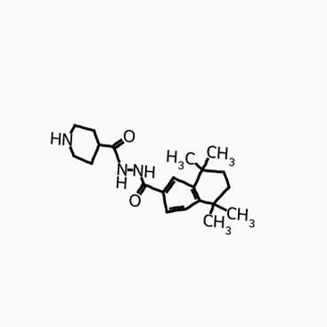 CC1(C)CCC(C)(C)c2cc(C(=O)NNC(=O)C3CCNCC3)ccc21